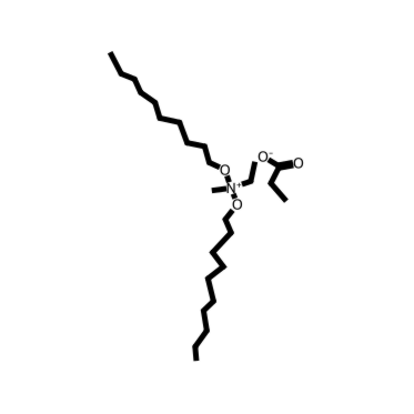 CCC(=O)[O-].CCCCCCCCCCO[N+](C)(CC)OCCCCCCCCCC